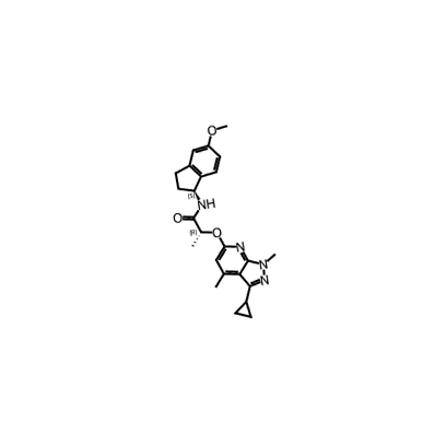 COc1ccc2c(c1)CC[C@@H]2NC(=O)[C@@H](C)Oc1cc(C)c2c(C3CC3)nn(C)c2n1